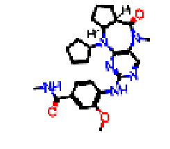 CNC(=O)c1ccc(Nc2ncc3c(n2)N(C2CCCC2)[C@H]2CCC[C@H]2C(=O)N3C)c(OC)c1